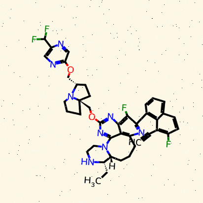 C#Cc1c(F)ccc2cccc(-c3nc4c5c(nc(OC[C@@]67CCCN6[C@H](COc6cnc(C(F)F)cn6)CC7)nc5c3F)N3CCN[C@@H](CC)[C@H]3CCC4)c12